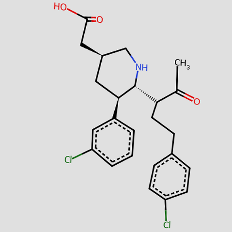 CC(=O)C(CCc1ccc(Cl)cc1)[C@H]1NC[C@H](CC(=O)O)C[C@@H]1c1cccc(Cl)c1